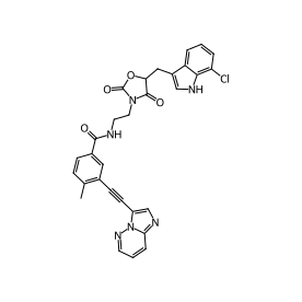 Cc1ccc(C(=O)NCCN2C(=O)OC(Cc3c[nH]c4c(Cl)cccc34)C2=O)cc1C#Cc1cnc2cccnn12